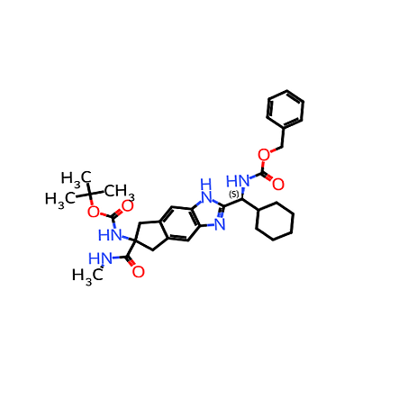 CNC(=O)C1(NC(=O)OC(C)(C)C)Cc2cc3nc([C@@H](NC(=O)OCc4ccccc4)C4CCCCC4)[nH]c3cc2C1